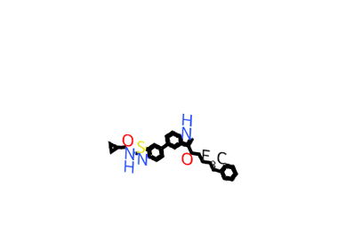 O=C(CCCCc1ccccc1C(F)(F)F)c1c[nH]c2ccc(-c3ccc4nc(NC(=O)C5CC5)sc4c3)cc12